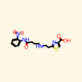 O=C(CCCNCCc1nc(C(=O)O)cs1)Nc1ccccc1[N+](=O)[O-]